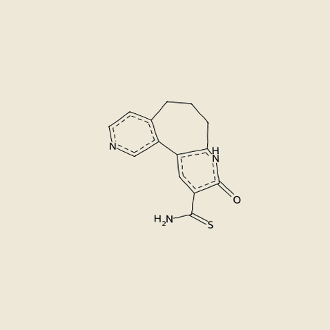 NC(=S)c1cc2c([nH]c1=O)CCCc1ccncc1-2